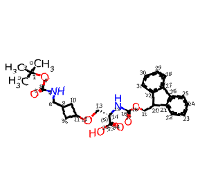 CC(C)(C)OC(=O)NCC1CC(OC[C@H](NC(=O)OCC2c3ccccc3-c3ccccc32)C(=O)O)C1